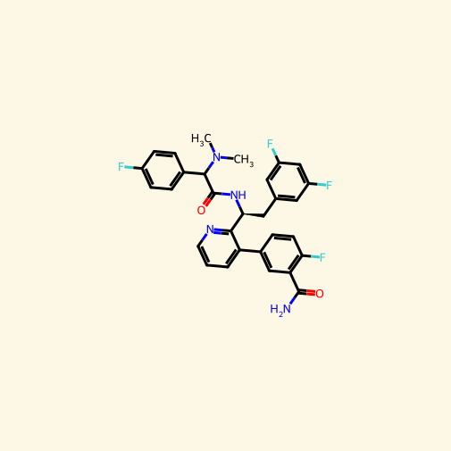 CN(C)C(C(=O)N[C@@H](Cc1cc(F)cc(F)c1)c1ncccc1-c1ccc(F)c(C(N)=O)c1)c1ccc(F)cc1